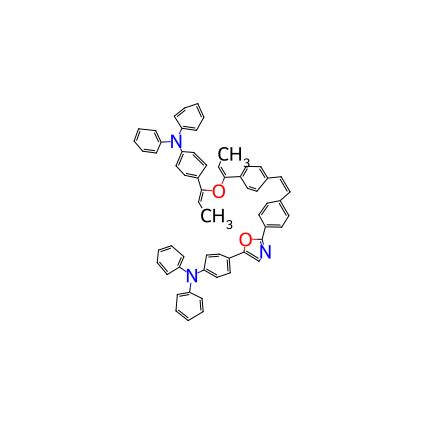 C/C=C(\O/C(=C/C)c1ccc(/C=C\c2ccc(-c3ncc(-c4ccc(N(c5ccccc5)c5ccccc5)cc4)o3)cc2)cc1)c1ccc(N(c2ccccc2)c2ccccc2)cc1